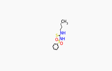 CCCCNC(=S)NS(=O)(=O)c1ccccc1